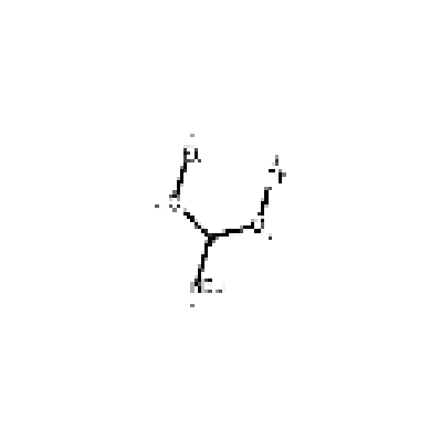 [CH2]CCCC(OCC)OCC